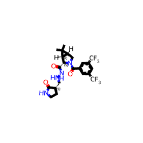 CC1(C)[C@@H]2[C@@H](C(=O)NNC[C@@H]3CCNC3=O)N(C(=O)c3cc(C(F)(F)F)cc(C(F)(F)F)c3)C[C@@H]21